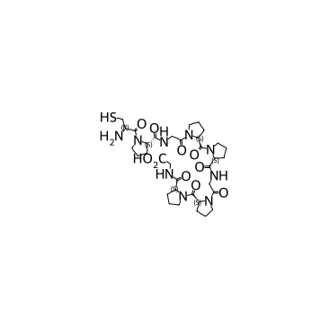 N[C@@H](CS)C(=O)N1CCC[C@H]1C(=O)NCC(=O)N1CCC[C@H]1C(=O)N1CCC[C@H]1C(=O)NCC(=O)N1CCC[C@H]1C(=O)N1CCC[C@H]1C(=O)NCC(=O)O